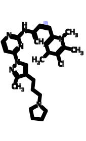 C=C(/C=C\C1=CC(C)C(Cl)=C(C)N1C)Nc1nccc(-n2cc(CCCN3CCCC3)c(C)n2)n1